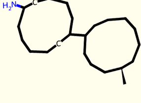 C[C@@H]1CCCCCCC(C2CCCCCC(N)CCCC2)CCC1